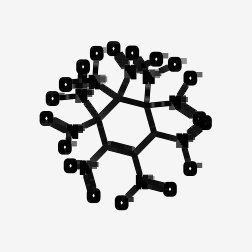 O=[N+]([O-])C1=C([N+](=O)[O-])C([N+](=O)[O-])([N+](=O)[O-])C([N+](=O)[O-])([N+](=O)[O-])C([N+](=O)[O-])([N+](=O)[O-])C1[N+](=O)[O-]